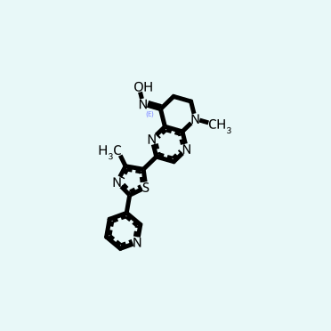 Cc1nc(-c2cccnc2)sc1-c1cnc2c(n1)/C(=N/O)CCN2C